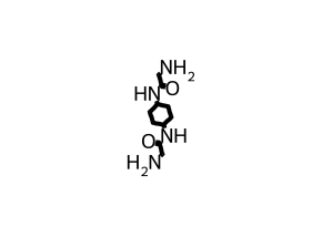 NCC(=O)NC1CCC(NC(=O)CN)CC1